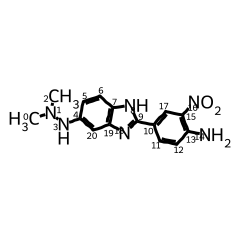 CN(C)Nc1ccc2[nH]c(-c3ccc(N)c([N+](=O)[O-])c3)nc2c1